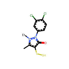 CCn1c(C)c(SS)c(=O)n1-c1ccc(Cl)c(Cl)c1